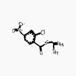 N=C(S)SC(=O)c1ccc([N+](=O)[O-])cc1Cl